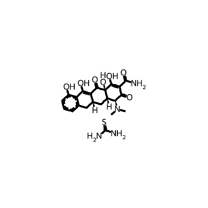 CN(C)[C@@H]1C(=O)C(C(N)=O)=C(O)[C@@]2(O)C(=O)C3=C(O)c4c(O)cccc4C[C@H]3C[C@@H]12.NC(N)=S